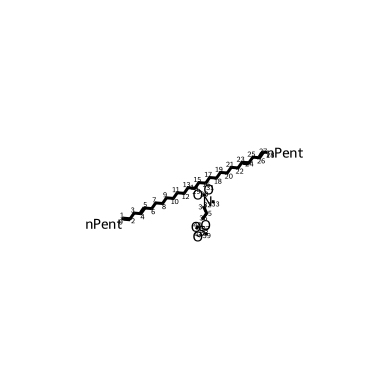 CCCCCC=CCC=CCCCCCCCCC(CCCCCCCCC=CCC=CCCCCC)OC(=O)N(C)CCCOS(C)(=O)=O